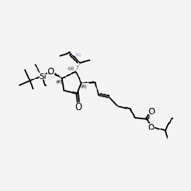 C/C=C(/C)[C@H]1[C@H](O[Si](C)(C)C(C)(C)C)CC(=O)[C@@H]1CC=CCCCC(=O)OC(C)C